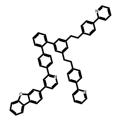 c1ccc(-c2ccc(CCc3cc(CCc4ccc(-c5ccccn5)cc4)cc(-c4ccccc4-c4ccc(-c5cc(-c6ccc7c(c6)oc6ccccc67)ccn5)cc4)c3)cc2)nc1